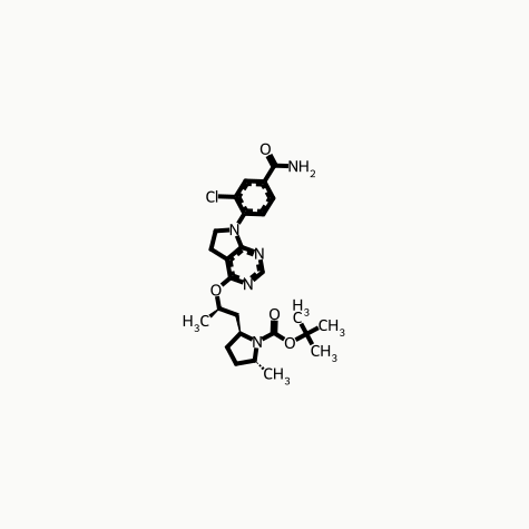 C[C@H](C[C@@H]1CC[C@@H](C)N1C(=O)OC(C)(C)C)Oc1ncnc2c1CCN2c1ccc(C(N)=O)cc1Cl